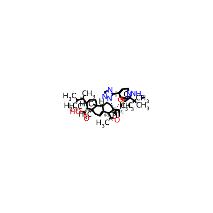 CC(C)[C@@H](C)[C@@]1(C)CCC2(C)[C@H]3CC[C@H]4[C@@]5(C)CO[C@@H](C)[C@@]4(C[C@@H](n4ncnc4-c4ccncc4)[C@@H]5OCC(C)(N)C(C)(C)C)C3=CC[C@@]2(C)[C@@H]1C(=O)O